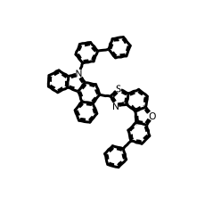 c1ccc(-c2cccc(-n3c4ccccc4c4c5ccccc5c(-c5nc6c(ccc7oc8ccc(-c9ccccc9)cc8c76)s5)cc43)c2)cc1